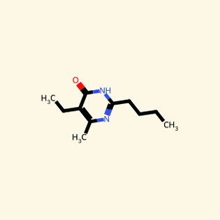 CCCCc1nc(C)c(CC)c(=O)[nH]1